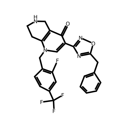 O=c1c(-c2noc(Cc3ccccc3)n2)cn(Cc2ccc(C(F)(F)F)cc2F)c2c1CNCC2